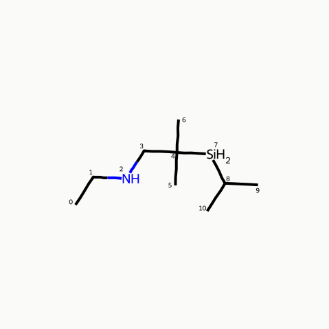 CCNCC(C)(C)[SiH2]C(C)C